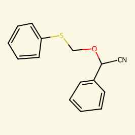 N#CC(OCSc1ccccc1)c1ccccc1